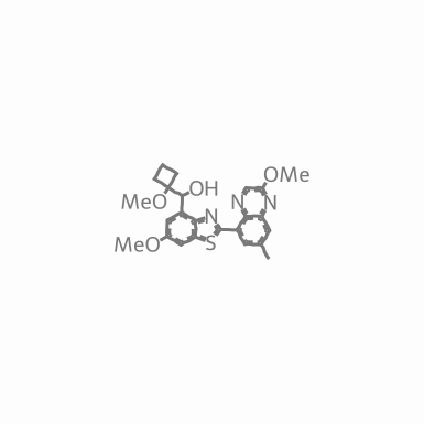 COc1cc(C(O)C2(OC)CCC2)c2nc(-c3cc(C)cc4nc(OC)cnc34)sc2c1